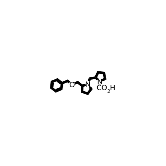 O=C(O)N1CCCC1CN1CCCC1COCc1ccccc1